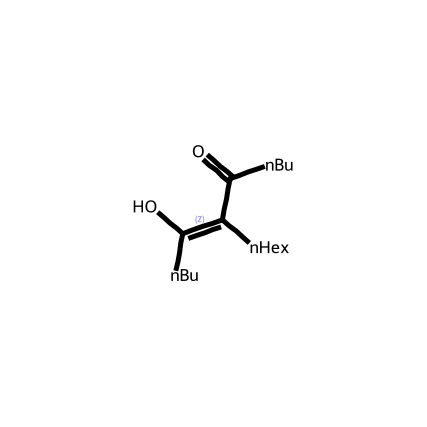 CCCCCC/C(C(=O)CCCC)=C(/O)CCCC